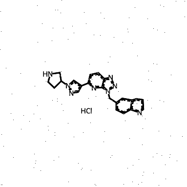 Cl.c1cnc2ccc(Cn3nnc4ccc(-c5cnn(C6CCNC6)c5)nc43)cc2c1